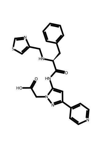 O=C(O)Cn1nc(-c2ccncc2)cc1NC(=O)[C@H](Cc1ccccc1)NCc1cscn1